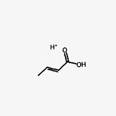 C/C=C/C(=O)O.[H+]